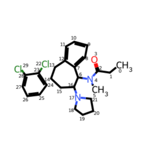 CCC(=O)N(C)C1c2ccccc2CCCC1N1CCCC1.Clc1ccccc1Cl